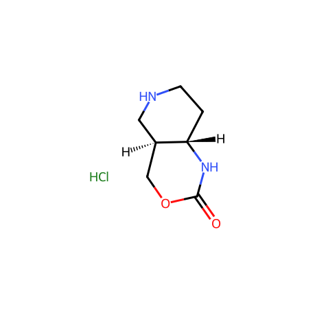 Cl.O=C1N[C@H]2CCNC[C@@H]2CO1